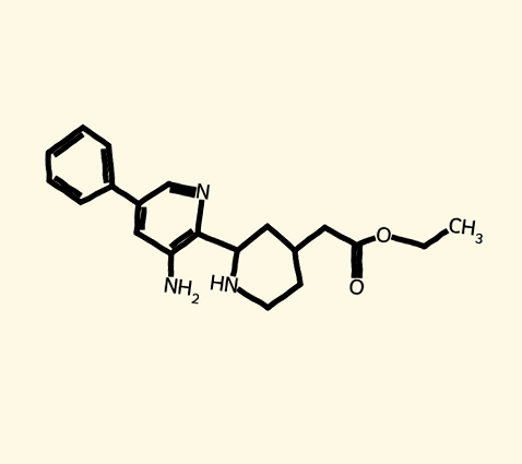 CCOC(=O)CC1CCNC(c2ncc(-c3ccccc3)cc2N)C1